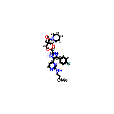 COCCNc1nccc(-c2[nH]c(C3OCC(C)(C(=O)N4CCCCC4)CO3)nc2-c2ccc(F)cc2)n1